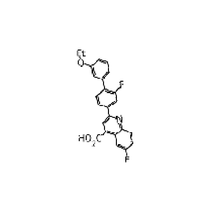 CCOc1cccc(-c2ccc(-c3cc(C(=O)O)c4cc(F)ccc4n3)cc2F)c1